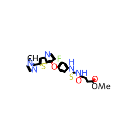 COC(=O)CCC(=O)NC(=S)Nc1ccc(Oc2ccnc3cc(-c4nccn4C)sc23)c(F)c1